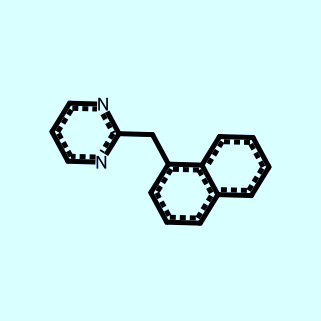 c1cnc(Cc2cccc3ccccc23)nc1